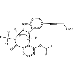 [2H]C([2H])([2H])N1C(=O)c2cccc(OC(F)F)c2[C@H]2C[C@@H]1c1nc3ccc(C#CCOC)cc3n12